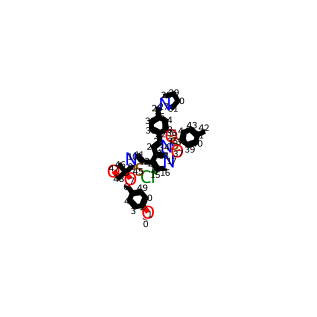 COc1ccc(COC2(c3ncc(-c4c(Cl)cnc5c4cc(-c4ccc(CN6CCCC6)cc4)n5S(=O)(=O)c4ccc(C)cc4)s3)COC2)cc1